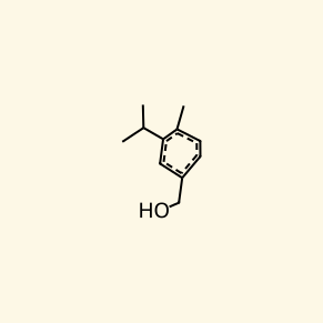 Cc1ccc(CO)cc1C(C)C